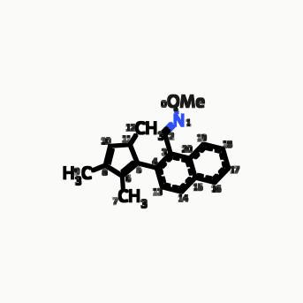 CON=Cc1c(C2=C(C)C(C)=CC2C)ccc2ccccc12